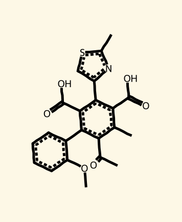 COc1ccccc1-c1c(C(C)=O)c(C)c(C(=O)O)c(-c2csc(C)n2)c1C(=O)O